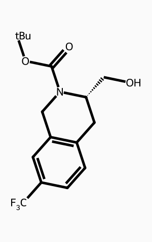 CC(C)(C)OC(=O)N1Cc2cc(C(F)(F)F)ccc2C[C@H]1CO